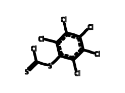 S=C(Cl)Sc1c(Cl)c(Cl)c(Cl)c(Cl)c1Cl